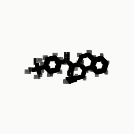 N#CCC1c2ccccc2CCN1C(=O)Nc1ccc(C(F)(F)F)cc1